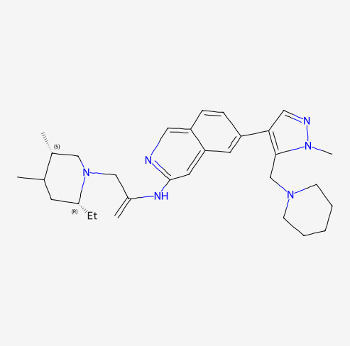 C=C(CN1C[C@@H](C)C(C)C[C@H]1CC)Nc1cc2cc(-c3cnn(C)c3CN3CCCCC3)ccc2cn1